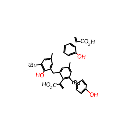 C=C(C(=O)O)c1c(Cc2cc(C)cc(C(C)(C)C)c2O)cc(C)cc1C(C)(C)C.C=CC(=O)O.Oc1ccccc1.Oc1ccccc1